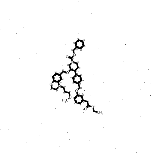 CCOC(=O)Cc1cccc(OCc2ccc(C3CCN(C(=O)OCc4ccccc4)CC3OCc3ccc4c(c3)N(CCCOC)CCO4)cc2)c1